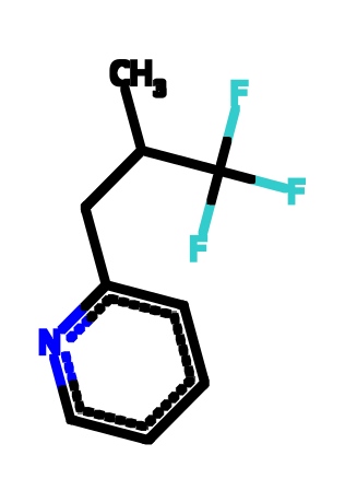 CC(Cc1ccccn1)C(F)(F)F